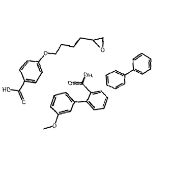 COc1cccc(-c2ccccc2C(=O)O)c1.O=C(O)c1ccc(OCCCCC2CO2)cc1.c1ccc(-c2ccccc2)cc1